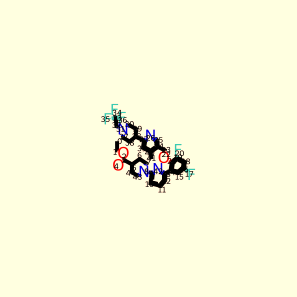 CCOC(=O)C1CCN(c2cccc(-c3cc(F)cc(F)c3OCc3cnc(C4CCN(CC(F)(F)F)CC4)cc3C)n2)CC1